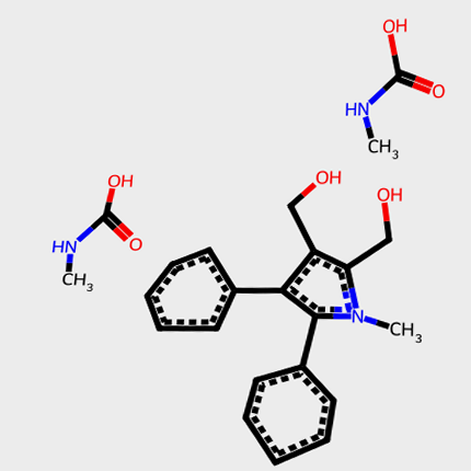 CNC(=O)O.CNC(=O)O.Cn1c(CO)c(CO)c(-c2ccccc2)c1-c1ccccc1